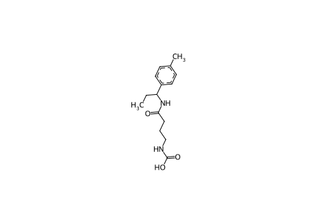 CCC(NC(=O)CCCNC(=O)O)c1ccc(C)cc1